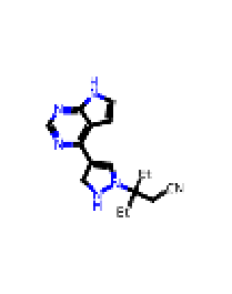 CCC(CC)(CC#N)N1C=C(c2ncnc3[nH]ccc23)CN1